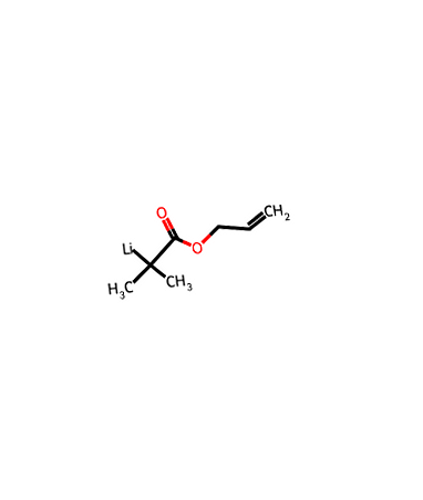 [Li][C](C)(C)C(=O)OCC=C